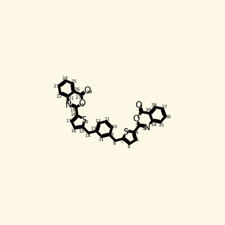 O=c1oc(-c2ccc(Cc3cccc(Cc4ccc(-c5nc6ccccc6c(=O)o5)s4)c3)s2)nc2ccccc12